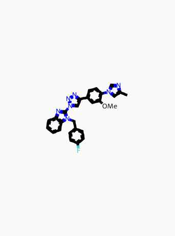 COc1cc(-c2cn(-c3nc4ccccc4n3Cc3ccc(F)cc3)nn2)ccc1-n1cnc(C)c1